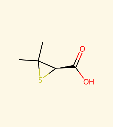 CC1(C)S[C@@H]1C(=O)O